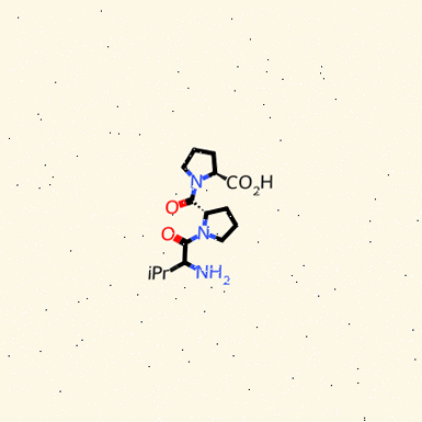 CC(C)C(N)C(=O)N1CCC[C@H]1C(=O)N1CCC[C@H]1C(=O)O